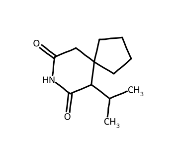 CC(C)C1C(=O)NC(=O)CC12CCCC2